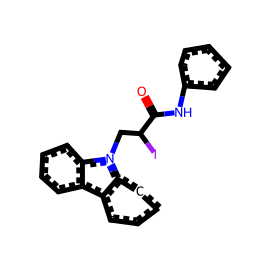 O=C(Nc1ccccc1)C(I)Cn1c2ccccc2c2ccccc21